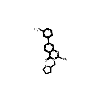 Nc1cccc(-c2ccc3c(=O)n(CC4CCCO4)c(N)nc3c2)c1